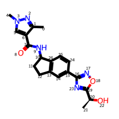 Cc1nn(C)cc1C(=O)NC1CCc2cc(-c3noc([C@H](C)O)n3)ccc21